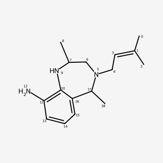 CC(C)=CCN1CC(C)Nc2c(N)cccc2C1C